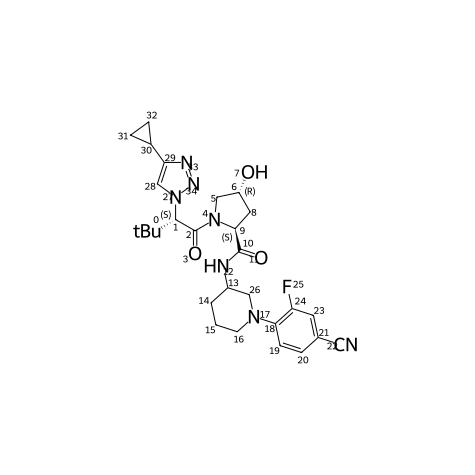 CC(C)(C)[C@@H](C(=O)N1C[C@H](O)C[C@H]1C(=O)NC1CCCN(c2ccc(C#N)cc2F)C1)n1cc(C2CC2)nn1